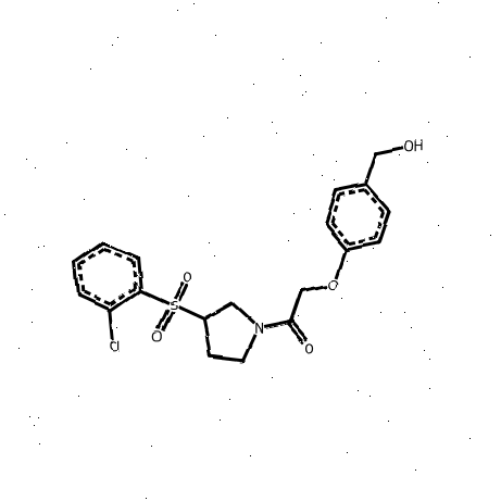 O=C(COc1ccc(CO)cc1)N1CCC(S(=O)(=O)c2ccccc2Cl)C1